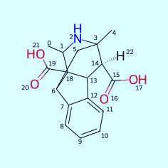 CC1NC2(C)CC3c4ccccc4C([C@@H]2C(=O)O)C13C(=O)O